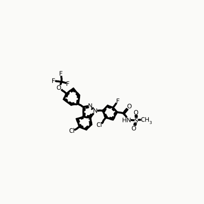 CS(=O)(=O)NC(=O)c1cc(Cl)c(-n2nc(-c3ccc(OC(F)(F)F)cc3)c3cc(Cl)ccc32)cc1F